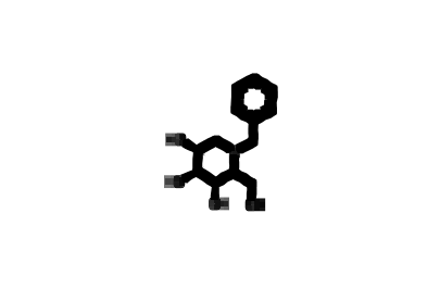 OCC1[C@@H](O)[C@@H](O)[C@@H](O)CN1Cc1ccccc1